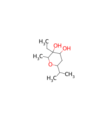 CCC1(O)C(O)CC(C(C)C)OC1C